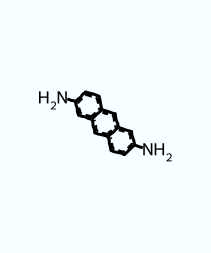 Nc1ccc2cc3cc(N)ccc3cc2c1